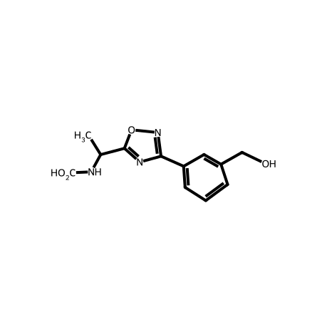 CC(NC(=O)O)c1nc(-c2cccc(CO)c2)no1